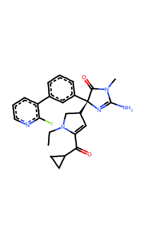 CCN1CC([C@]2(c3cccc(-c4cccnc4F)c3)N=C(N)N(C)C2=O)C=C1C(=O)C1CC1